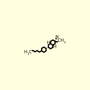 CCCCCC1CCC([C@H]2CC[C@@H]3C[C@](C#N)(CC)CC[C@@H]3C2)CC1